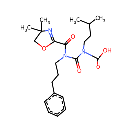 CC(C)CCN(C(=O)O)C(=O)N(CCCc1ccccc1)C(=O)C1=NC(C)(C)CO1